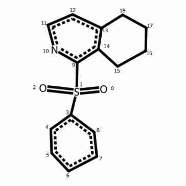 O=S(=O)(c1ccccc1)c1nccc2c1CCCC2